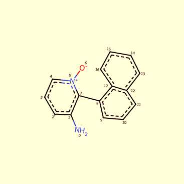 Nc1[c]cc[n+]([O-])c1-c1cccc2ccccc12